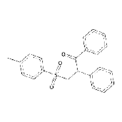 Cc1ccc(S(=O)(=O)CC(C(=O)c2ccccc2)c2ccccc2)cc1